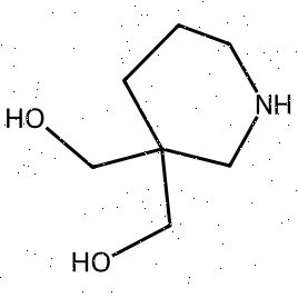 OCC1(CO)CCCNC1